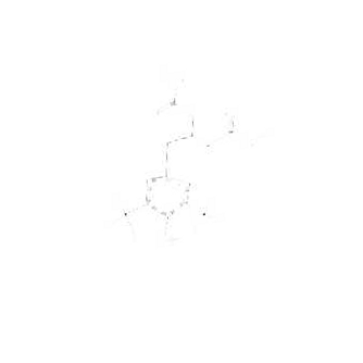 COC(=O)CC(CC(=O)OC)Cc1cc(C(C)(C)C)c(O)c(C(C)(C)C)c1